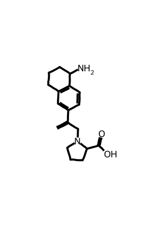 C=C(CN1CCCC1C(=O)O)c1ccc2c(c1)CCCC2N